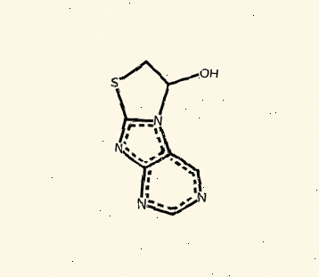 OC1CSc2nc3ncncc3n21